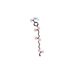 C=CC(=O)OCCCCOC(=O)CCCC(=O)Oc1ccc(C(N)=O)cc1